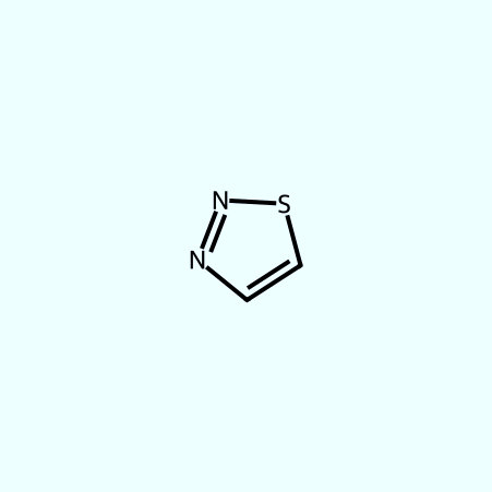 c1csnn1